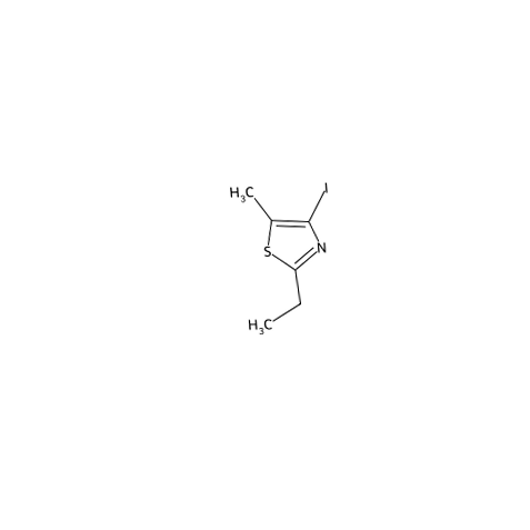 CCc1nc(I)c(C)s1